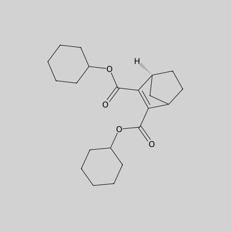 O=C(OC1CCCCC1)C1=C(C(=O)OC2CCCCC2)[C@H]2CCC1C2